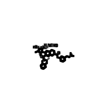 CCCCc1c(CCCC)c(-c2cc3c(cc2C(=O)N2Cc4ccccc4C[C@H]2C)CN(C(=O)Cc2cccc(CCN(C)C)c2)CC3)n(C)c1C.NC=O